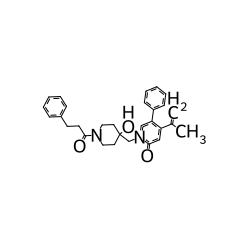 C=C(C)c1cc(=O)n(CC2(O)CCN(C(=O)CCc3ccccc3)CC2)cc1-c1ccccc1